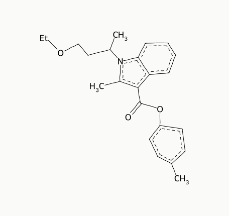 CCOCCC(C)n1c(C)c(C(=O)Oc2ccc(C)cc2)c2ccccc21